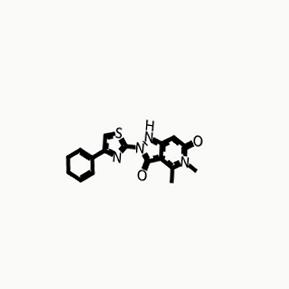 Cc1c2c(=O)n(-c3nc(C4=CCCC=C4)cs3)[nH]c2cc(=O)n1C